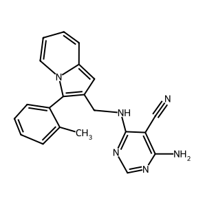 Cc1ccccc1-c1c(CNc2ncnc(N)c2C#N)cc2ccccn12